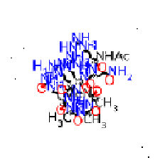 CNC(=O)[C@H](C)NC(=O)[C@H](C)NC(=O)[C@H](C)NC(=O)[C@H](CCCNC(N)=O)NC(=O)[C@H](CCCNC(=N)N)NC(=O)[C@H](CCCNC(=N)N)NC(=O)[C@H](CCC(N)=O)NC(=O)[C@H](CCCNC(=N)N)NC(C)=O